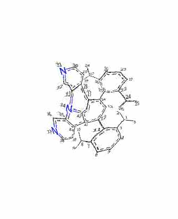 CC(C)c1cccc(C(C)C)c1-c1cc(-c2c(C(C)C)cccc2C(C)C)c2c3ccncc3n3c4cnccc4c1c23